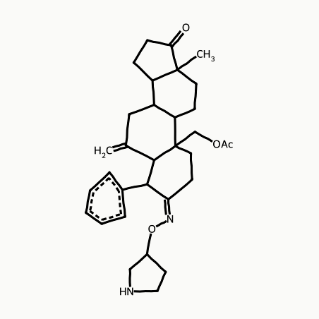 C=C1CC2C3CCC(=O)C3(C)CCC2C2(COC(C)=O)CC/C(=N/OC3CCNC3)C(c3ccccc3)C12